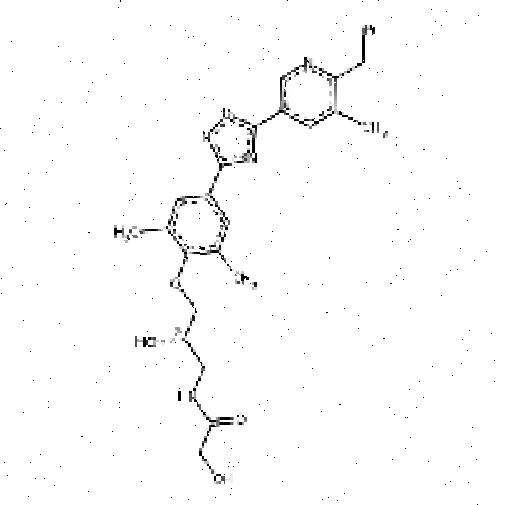 Cc1cc(-c2nc(-c3cc(C)c(OC[C@@H](O)CNC(=O)CO)c(C)c3)no2)cnc1CC(C)C